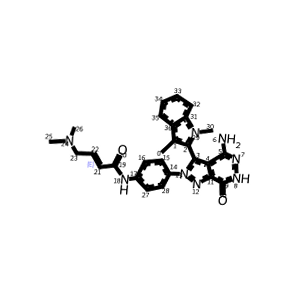 Cc1c(-c2c3c(N)n[nH]c(=O)c3nn2-c2ccc(NC(=O)/C=C/CN(C)C)cc2)n(C)c2ccccc12